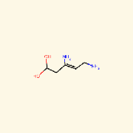 NCC=C(N)CC(O)O